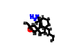 CCCCC12CCCC(C)(N)B1C(C=O)(CCC)CC2